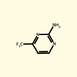 Nc1nc[c]c(C(F)(F)F)n1